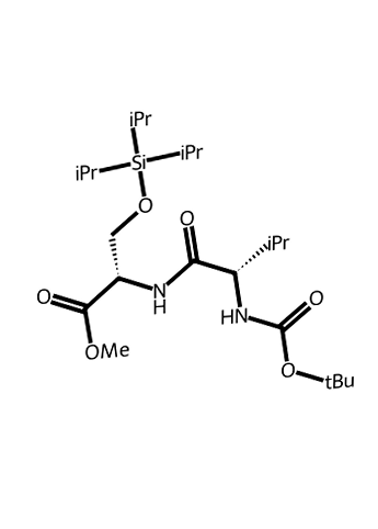 COC(=O)[C@H](CO[Si](C(C)C)(C(C)C)C(C)C)NC(=O)[C@@H](NC(=O)OC(C)(C)C)C(C)C